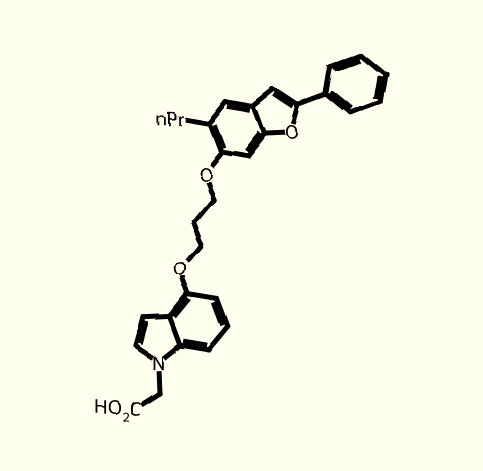 CCCc1cc2cc(-c3ccccc3)oc2cc1OCCCOc1cccc2c1ccn2CC(=O)O